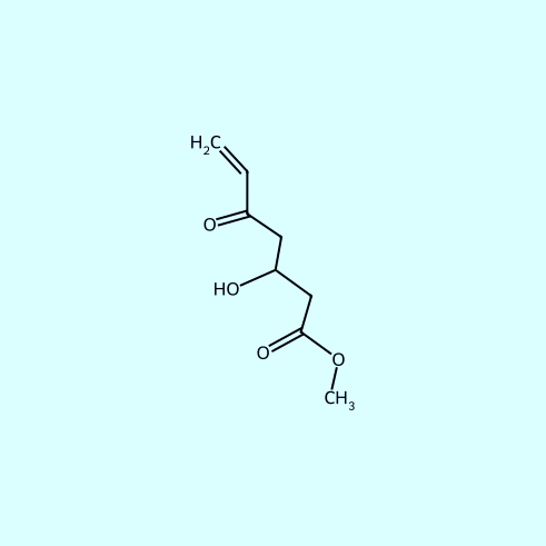 C=CC(=O)CC(O)CC(=O)OC